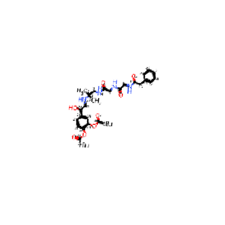 CC(C)(CNC(=O)CNC(=O)CNC(=O)Cc1ccccc1)NCC(O)c1ccc(OC(=O)C(C)(C)C)c(OC(=O)C(C)(C)C)c1